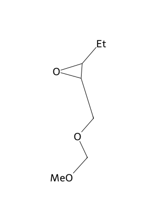 CCC1OC1COCOC